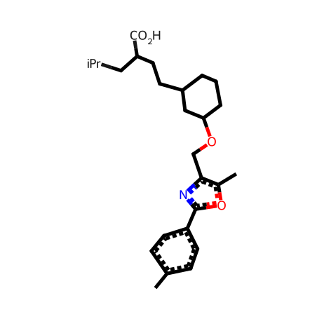 Cc1ccc(-c2nc(COC3CCCC(CCC(CC(C)C)C(=O)O)C3)c(C)o2)cc1